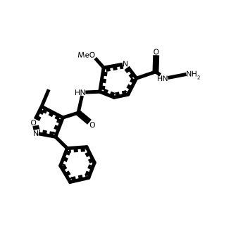 COc1nc(C(=O)NN)ccc1NC(=O)c1c(-c2ccccc2)noc1C